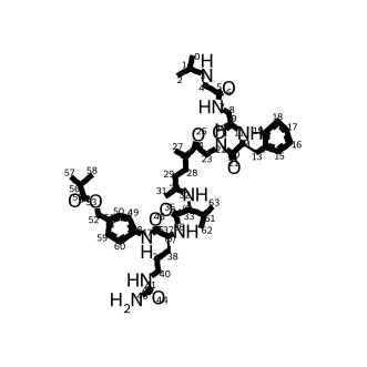 CC(C)NCC(=O)NCC(=O)N[C@@H](Cc1ccccc1)C(=O)NCC(=O)C(C)CCC(C)N[C@H](C(=O)N[C@@H](CCCNC(N)=O)C(=O)Nc1ccc(COC(=O)C(C)C)cc1)C(C)C